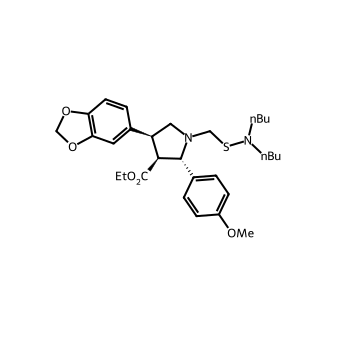 CCCCN(CCCC)SCN1C[C@H](c2ccc3c(c2)OCO3)[C@H](C(=O)OCC)[C@H]1c1ccc(OC)cc1